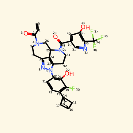 C=CC(=O)N1CCc2nn(-c3ccc(C45CC(C4)C5)c(F)c3O)c3c2C(C1)N(C(=O)c1cnc(C(F)(F)F)c(O)c1)CC3